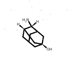 N[C@@H]1C2CC3C[C@H]1C[C@@](O)(C3)C2